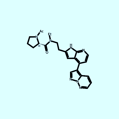 CCN(CCc1cc2c(-c3cnn4ncccc34)ccnc2[nH]1)C(=O)[C@@H]1CCCN1C(C)=O